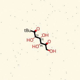 CC(C)(C)C(=O)[C@@H](O)[C@H](O)[C@@H](O)C(=O)CO